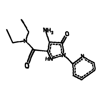 CCN(CC)C(=O)c1[nH]n(-c2ccccn2)c(=O)c1N